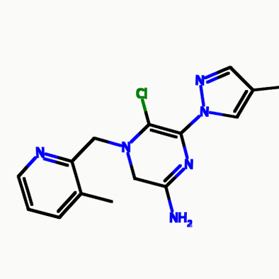 Cc1cnn(C2=C(Cl)N(Cc3ncccc3C)CC(N)=N2)c1